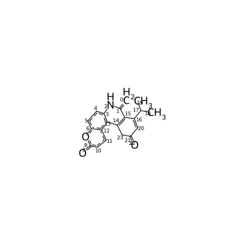 C=C1Nc2ccc3oc(=O)ccc3c2C2=C1C(C(C)C)=CC(=O)C2